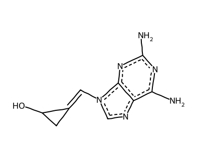 Nc1nc(N)c2ncn(C=C3CC3O)c2n1